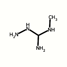 CNC(N)NN